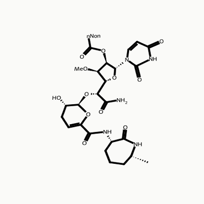 CCCCCCCCCC(=O)O[C@@H]1[C@H](OC)[C@@H]([C@@H](O[C@H]2OC(C(=O)N[C@H]3CCC[C@@H](C)NC3=O)=CC[C@@H]2O)C(N)=O)O[C@H]1n1ccc(=O)[nH]c1=O